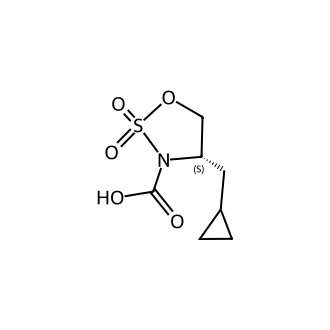 O=C(O)N1[C@@H](CC2CC2)COS1(=O)=O